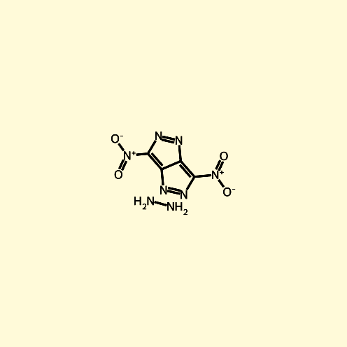 NN.O=[N+]([O-])C1=C2N=NC([N+](=O)[O-])=C2N=N1